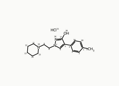 Cc1ccc(-c2cn(CCN3CCCCC3)nc2O)cc1.Cl